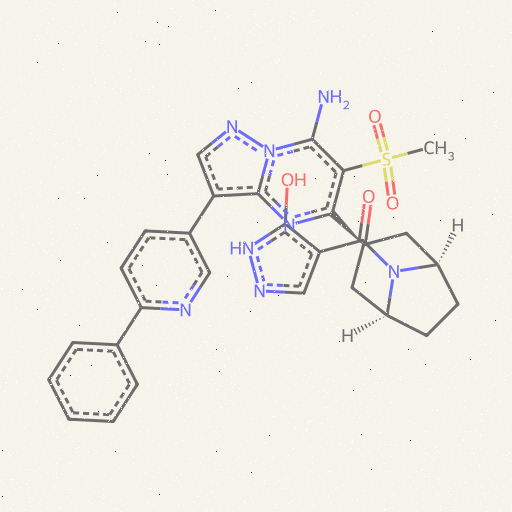 CS(=O)(=O)c1c([C@H]2C[C@H]3CC[C@@H](C2)N3C(=O)c2cn[nH]c2O)nc2c(-c3ccc(-c4ccccc4)nc3)cnn2c1N